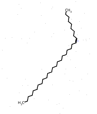 CCCCCCCC/C=C\CCCCCCCCCCCCCCCCCCCCC